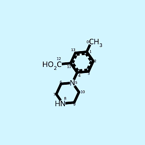 Cc1ccc(N2CCNCC2)c(C(=O)O)c1